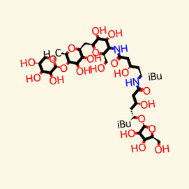 CC[C@H](C)[C@H](C[C@H](O)CC(=O)NC1C(O)C(O)[C@H](C[C@@H]2O[C@H](C)C(O[C@@H]3OC[C@@H](O)C(O)C3O)C(O)C2O)O[C@@H]1CO)NC(=O)C[C@@H](O)C[C@H](O[C@@H]1O[C@@H](CO)C(O)C1O)[C@@H](C)CC